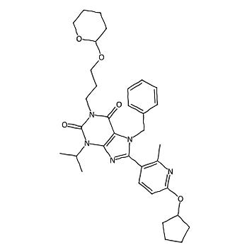 Cc1nc(OC2CCCC2)ccc1-c1nc2c(c(=O)n(CCCOC3CCCCO3)c(=O)n2C(C)C)n1Cc1ccccc1